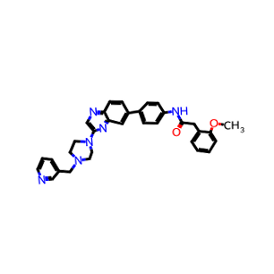 COc1ccccc1CC(=O)Nc1ccc(-c2ccc3ncc(N4CCN(Cc5cccnc5)CC4)nc3c2)cc1